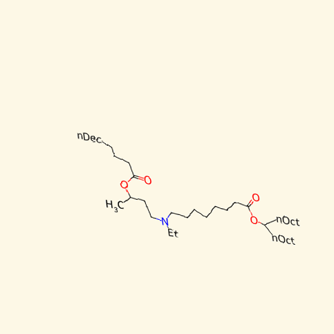 CCCCCCCCCCCCCC(=O)OC(C)CCN(CC)CCCCCCCC(=O)OC(CCCCCCCC)CCCCCCCC